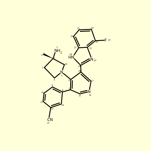 C[C@]1(N)CCN(c2c(-c3cccc(C#N)c3)cncc2-c2nc3c(F)cccc3[nH]2)C1